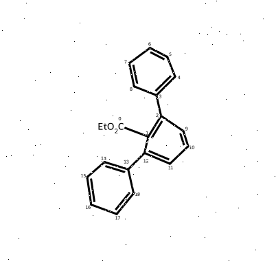 CCOC(=O)c1c(-c2ccccc2)cccc1-c1ccccc1